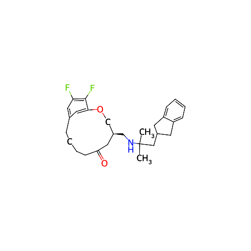 CC(C)(CC1Cc2ccccc2C1)NC[C@@H]1COc2cc(cc(F)c2F)CCCCC(=O)C1